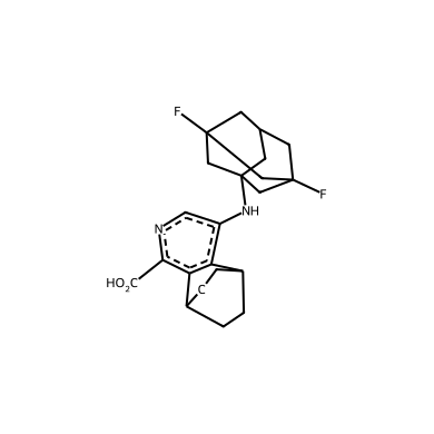 O=C(O)c1ncc(NC23CC4CC(F)(CC(F)(C4)C2)C3)c2c1C1CCC2CC1